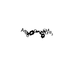 CC(=O)SCC(=O)c1ccc(OCCN(CCN(C)C)Cc2ccccc2)cc1